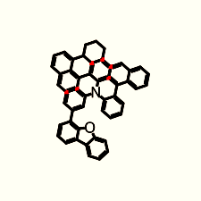 c1cc(-c2cccc3c2oc2ccccc23)cc(N(c2ccccc2-c2cccc3ccccc23)c2ccccc2-c2cccc3cccc(C4CCCCC4)c23)c1